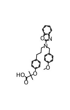 COc1ccc(CN(CCCc2ccc(OC(C)(C)C(=O)O)cc2)c2nc3ccccc3o2)cc1